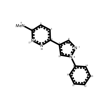 CNc1ccc(-c2cnn(-c3ccccc3)c2)nn1